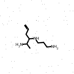 C=CCC(NCCCN)C(C)N